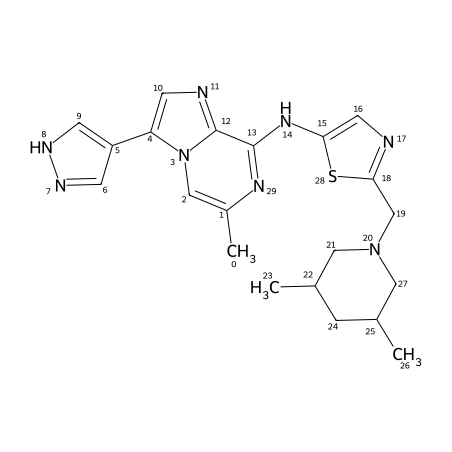 Cc1cn2c(-c3cn[nH]c3)cnc2c(Nc2cnc(CN3CC(C)CC(C)C3)s2)n1